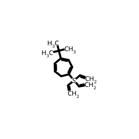 C=CS(C=C)(C=C)C1=CC=C(C(C)(C)C)C=CC1